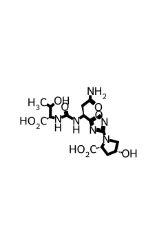 CC(O)[C@H](NC(=O)N[C@@H](CC(N)=O)c1nc(N2C[C@H](O)C[C@@H]2C(=O)O)no1)C(=O)O